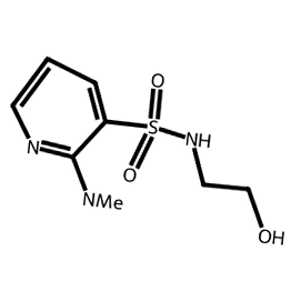 CNc1ncccc1S(=O)(=O)NCCO